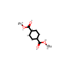 CC(C)OC(=O)C1CCC(C(=O)OC(C)(C)C)CC1